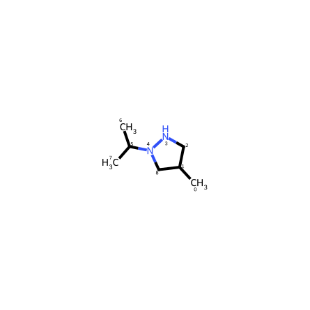 CC1CNN(C(C)C)C1